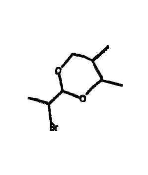 CC(Br)C1OCC(C)C(C)O1